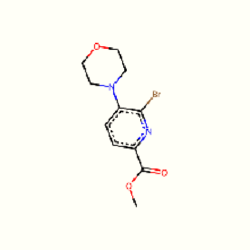 COC(=O)c1ccc(N2CCOCC2)c(Br)n1